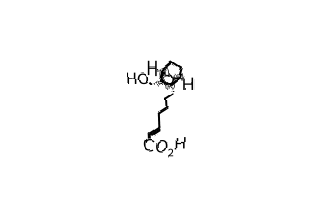 O=C(O)C=CCCCC[C@@H]1[C@H](CO)[C@H]2CC[C@@H]1O2